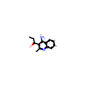 CCC(=O)c1c(C)nc2ccccc2c1N